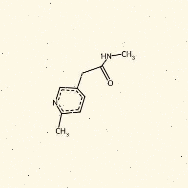 CNC(=O)Cc1ccc(C)nc1